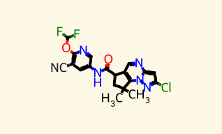 CC1(C)CC(C(=O)Nc2cnc(OC(F)F)c(C#N)c2)c2cnc3cc(Cl)nn3c21